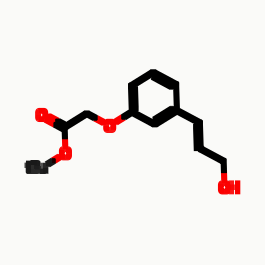 CC(C)(C)OC(=O)COc1cccc(C=CCO)c1